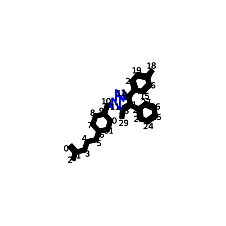 C=C(C)CCCC1CCC(Cn2nc(-c3ccc(C)cc3)c(-c3ccccc3)c2C)CC1